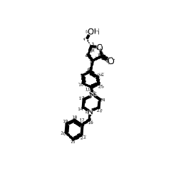 O=C1O[C@@H](CO)CC1c1ccc(N2CCN(Cc3ccccc3)CC2)cc1